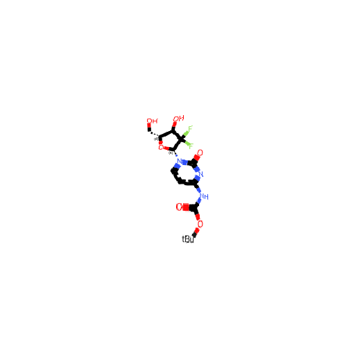 CC(C)(C)OC(=O)Nc1ccn([C@@H]2O[C@H](CO)C(O)C2(F)F)c(=O)n1